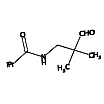 CC(C)C(=O)NCC(C)(C)C=O